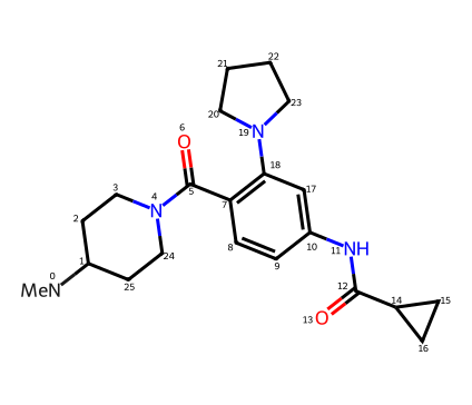 CNC1CCN(C(=O)c2ccc(NC(=O)C3CC3)cc2N2CCCC2)CC1